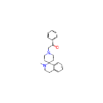 CN1CCc2ccccc2C12CCN(CC(=O)c1ccccc1)CC2